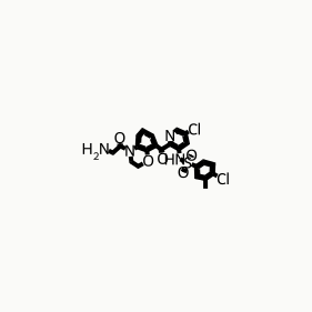 Cc1cc(S(=O)(=O)Nc2cc(Cl)cnc2C(=O)c2cccc3c2OCCN3C(=O)CN)ccc1Cl